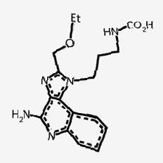 CCOCc1nc2c(N)nc3ccccc3c2n1CCCNC(=O)O